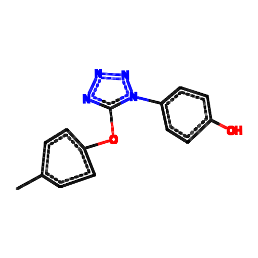 Cc1ccc(Oc2nnnn2-c2ccc(O)cc2)cc1